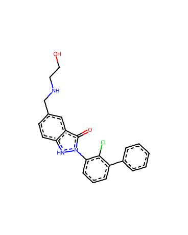 O=c1c2cc(CNCCO)ccc2[nH]n1-c1cccc(-c2ccccc2)c1Cl